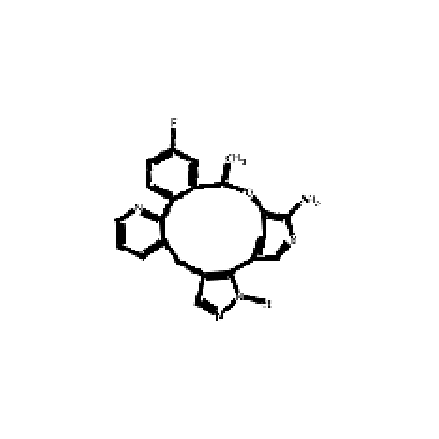 CCn1ncc2c1-c1cnc(N)c(c1)OC(C)c1cc(F)ccc1-c1ncccc1C2